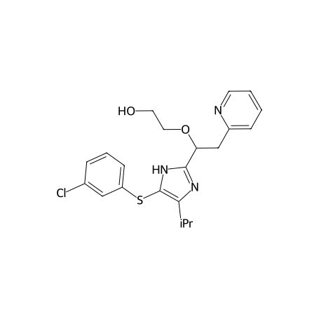 CC(C)c1nc(C(Cc2ccccn2)OCCO)[nH]c1Sc1cccc(Cl)c1